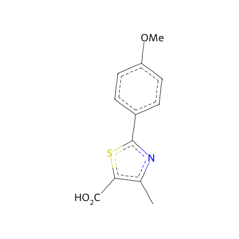 COc1ccc(-c2nc(C)c(C(=O)O)s2)cc1